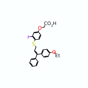 CCOc1ccc(/C(=C\CSc2ccc(OCC(=O)O)cc2I)c2ccccc2)cc1